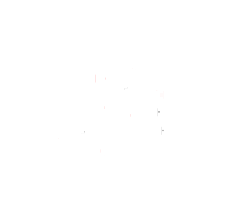 O=[Se](=O)(O)O.O=[Se]([O-])[O-].[K+].[K+]